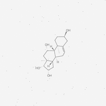 C[C@]12C[C@H](O)[C@H]3[C@@H](CC=C4C[C@H](O)CC[C@@]43C)[C@@H]1C[C@H](O)[C@@H]2O